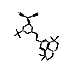 CC1(C)CCN2CCC(C)(C)c3cc(/C=C/C4CC(=C(C#N)C#N)CC(C(C)(C)C)C4)cc1c32